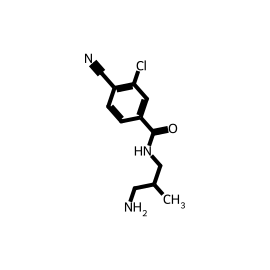 CC(CN)CNC(=O)c1ccc(C#N)c(Cl)c1